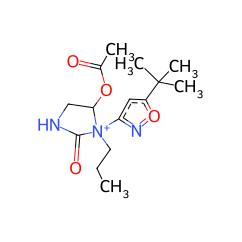 CCC[N+]1(c2cc(C(C)(C)C)on2)C(=O)NCC1OC(C)=O